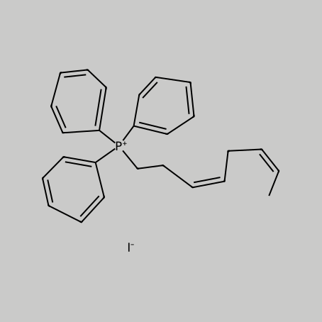 C/C=C\C/C=C\CC[P+](c1ccccc1)(c1ccccc1)c1ccccc1.[I-]